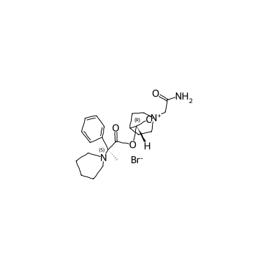 C[C@@](C(=O)O[C@H]1C[N+]2(CC(N)=O)CCC1CC2)(c1ccccc1)N1CCCCC1.[Br-]